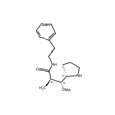 CO[C@@H]([C@@H]1CCCN1)[C@@H](C)C(=O)NCCc1ccccc1